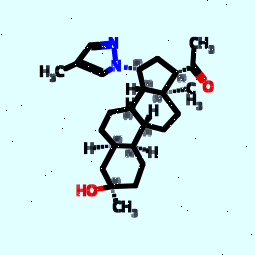 CC(=O)[C@H]1C[C@@H](n2cc(C)cn2)[C@H]2[C@@H]3CC[C@@H]4C[C@](C)(O)CC[C@@H]4[C@H]3CC[C@@]21C